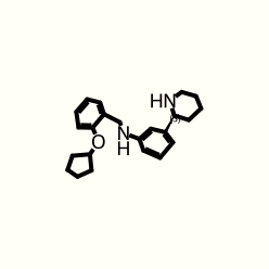 c1cc(NCc2ccccc2OC2CCCC2)cc([C@@H]2CCCCN2)c1